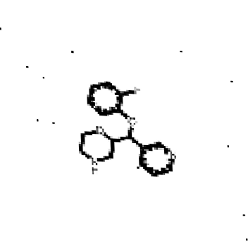 Fc1ccccc1OC(c1cccnc1)C1CNCCO1